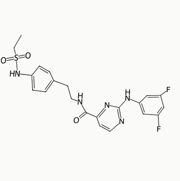 CCS(=O)(=O)Nc1ccc(CCNC(=O)c2ccnc(Nc3cc(F)cc(F)c3)n2)cc1